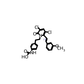 COc1cccc(/C=C/c2c(Cl)cc(Cl)c(=O)n2CCc2ccc(NC(=O)O)cc2)c1